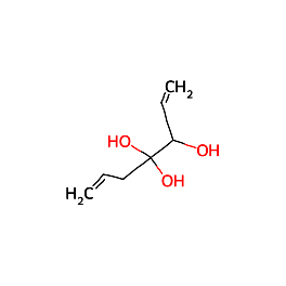 C=CCC(O)(O)C(O)C=C